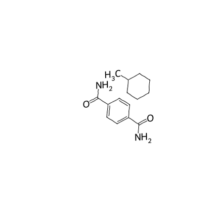 CC1CCCCC1.NC(=O)c1ccc(C(N)=O)cc1